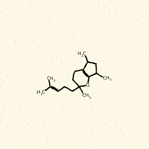 CC(C)=CCCC1(C)CCC2=C(O1)C(C)CC2C